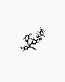 CCc1cc2c(cc1F)c(C#N)c(-c1ccc(S(=O)(=O)N[C@@H](C)C(F)(F)F)cn1)n2-c1cc(Cl)ccn1